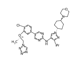 CC(C)c1nn([C@H]2CC[C@H](N3CCOCC3)CC2)cc1Nc1ncc(-c2ccc(Cl)c(O[C@@H](C)Cn3cnnn3)c2)cn1